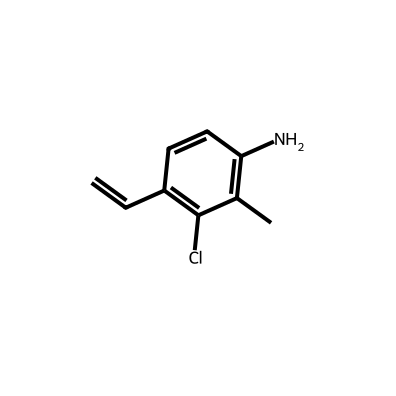 C=Cc1ccc(N)c(C)c1Cl